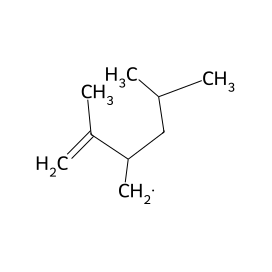 [CH2]C(CC(C)C)C(=C)C